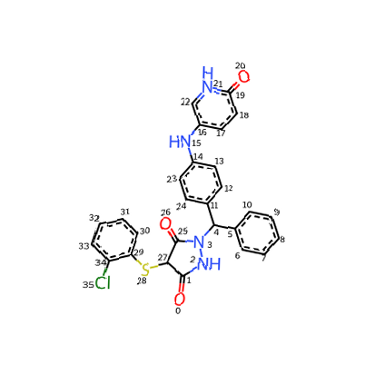 O=C1NN(C(c2ccccc2)c2ccc(Nc3ccc(=O)[nH]c3)cc2)C(=O)C1Sc1ccccc1Cl